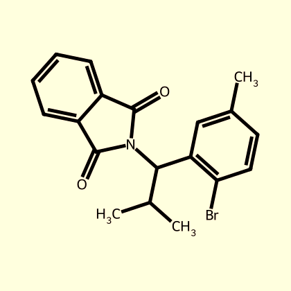 Cc1ccc(Br)c(C(C(C)C)N2C(=O)c3ccccc3C2=O)c1